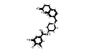 O=C1CCc2ccc(CN3CCC(NC(=O)c4cc(F)c(F)c(F)c4)CC3)cc2N1